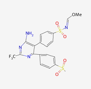 COC=NS(=O)(=O)c1ccc(-c2c(N)nc(C(F)(F)F)nc2-c2ccc(S(C)(=O)=O)cc2)cc1